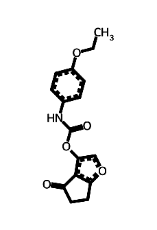 CCOc1ccc(NC(=O)Oc2coc3c2C(=O)CC3)cc1